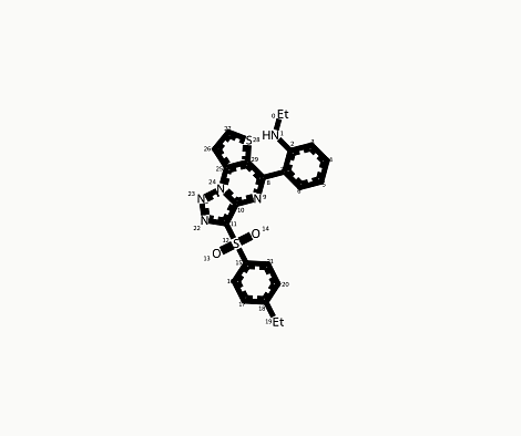 CCNc1ccccc1-c1nc2c(S(=O)(=O)c3ccc(CC)cc3)nnn2c2ccsc12